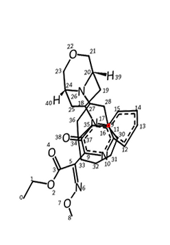 CCOC(=O)C(=NOC)c1nc2ccccc2n(C2C[C@H]3COC[C@@H](C2)N3C2CC3CCCCC(C3)C2)c1=O